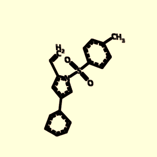 C=Cc1cc(-c2ccccc2)cn1S(=O)(=O)c1ccc(C)cc1